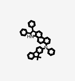 CC1(C)c2ccccc2-c2ccc(N(c3ccccc3)c3cccc4c3ccc3c5c(ccc34)C(c3ccccc3)C(c3ccccc3)N5)cc21